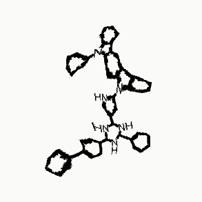 C1=CCCC(C2NC(c3c[nH]c(-n4c5ccccc5c5cc6c7ccccc7n(-c7ccccc7)c6cc54)c3)NC(C3C=CC(c4ccccc4)=CC3)N2)=C1